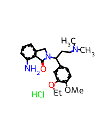 CCOc1cc(C(CCN(C)C)N2Cc3cccc(N)c3C2=O)ccc1OC.Cl